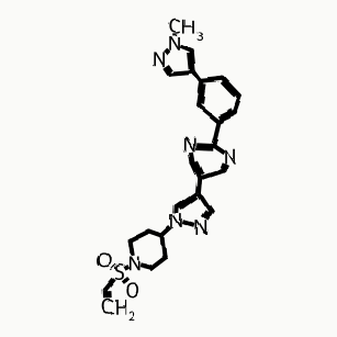 C=CS(=O)(=O)N1CCC(n2cc(-c3cnc(-c4cccc(-c5cnn(C)c5)c4)nc3)cn2)CC1